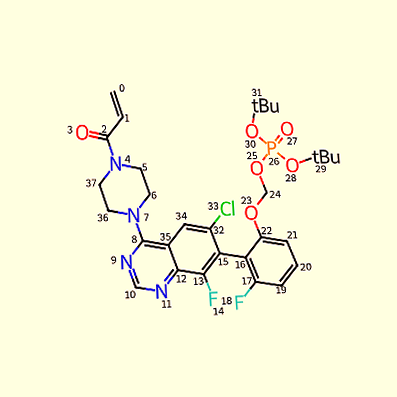 C=CC(=O)N1CCN(c2ncnc3c(F)c(-c4c(F)cccc4OCOP(=O)(OC(C)(C)C)OC(C)(C)C)c(Cl)cc23)CC1